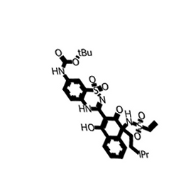 C=CS(=O)(=O)NC1(CCC(C)C)C(=O)C(C2=NS(=O)(=O)c3cc(NC(=O)OC(C)(C)C)ccc3N2)=C(O)c2ccccc21